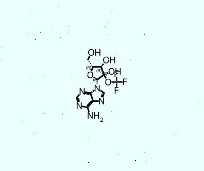 Nc1ncnc2c1ncn2[C@@H]1O[C@H](CO)[C@@H](O)[C@]1(O)OC(F)(F)F